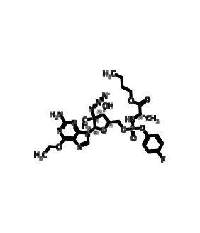 CCCCOC(=O)[C@H](C)NP(=O)(OC[C@H]1O[C@@H](n2cnc3c(OCC)nc(N)nc32)[C@](C)(N=[N+]=[N-])[C@@H]1O)Oc1ccc(F)cc1